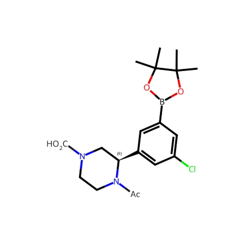 CC(=O)N1CCN(C(=O)O)C[C@H]1c1cc(Cl)cc(B2OC(C)(C)C(C)(C)O2)c1